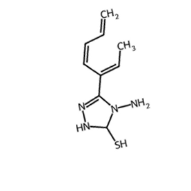 C=C/C=C\C(=C/C)C1=NNC(S)N1N